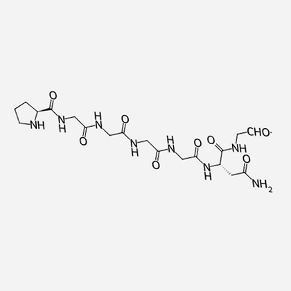 NC(=O)C[C@H](NC(=O)CNC(=O)CNC(=O)CNC(=O)CNC(=O)[C@@H]1CCCN1)C(=O)NC[C]=O